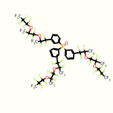 O=P(c1cccc(C(F)(F)C(F)(OC(F)(F)C(F)(OC(F)(F)C(F)(F)C(F)(F)F)C(F)(F)F)C(F)(F)F)c1)(c1cccc(C(F)(F)C(F)(OC(F)(F)C(F)(OC(F)(F)C(F)(F)C(F)(F)F)C(F)(F)F)C(F)(F)F)c1)c1cccc(C(F)(F)C(F)(OC(F)(F)C(F)(OC(F)(F)C(F)(F)C(F)(F)F)C(F)(F)F)C(F)(F)F)c1